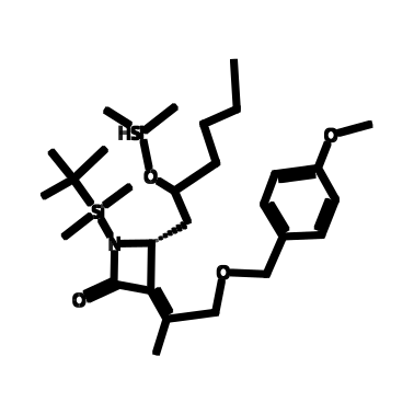 CCCCC(C[C@@H]1C(=C(C)COCc2ccc(OC)cc2)C(=O)N1[Si](C)(C)C(C)(C)C)O[SiH](C)C